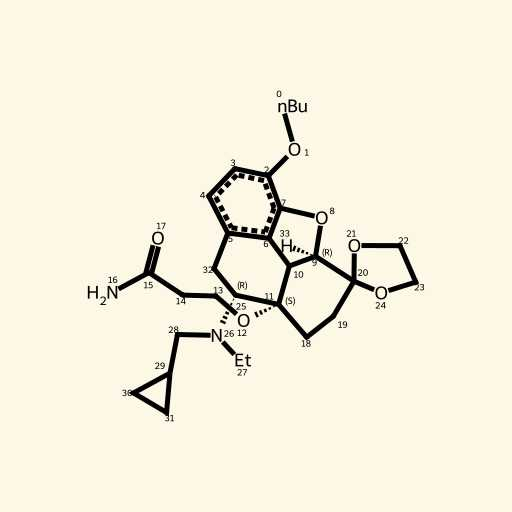 CCCCOc1ccc2c3c1O[C@@H]1C3[C@@](OCCC(N)=O)(CCC13OCCO3)[C@H](N(CC)CC1CC1)C2